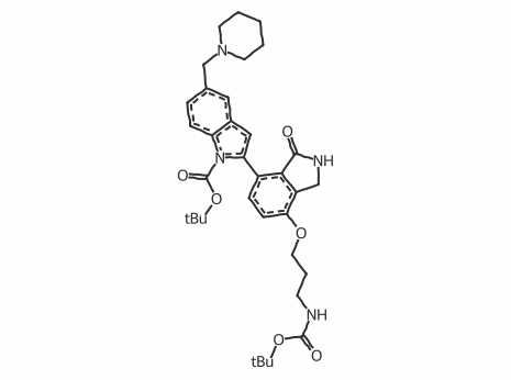 CC(C)(C)OC(=O)NCCCOc1ccc(-c2cc3cc(CN4CCCCC4)ccc3n2C(=O)OC(C)(C)C)c2c1CNC2=O